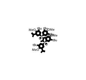 C=C(C)c1cc(P(=O)(c2cc(C(C)(C)C)c(OC)c(C(C)(C)C)c2)C(C)C(C)P(=O)(c2cc(C(=C)C)c(OC)c(C(C)(C)C)c2)c2cc(C(C)(C)C)c(OC)c(C(C)(C)C)c2)cc(C(C)(C)C)c1OC